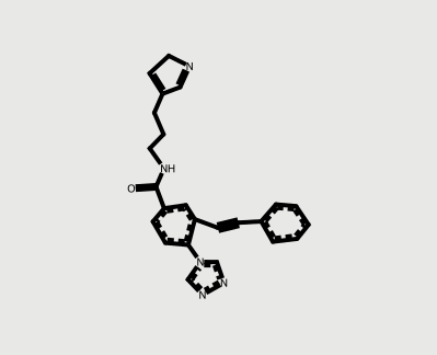 O=C(NCCCC1=CCN=C1)c1ccc(-n2cnnc2)c(C#Cc2ccccc2)c1